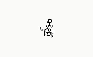 C[C@H](Nc1ccc(F)c(Cl)c1)C(=O)OC(=O)c1ccccc1